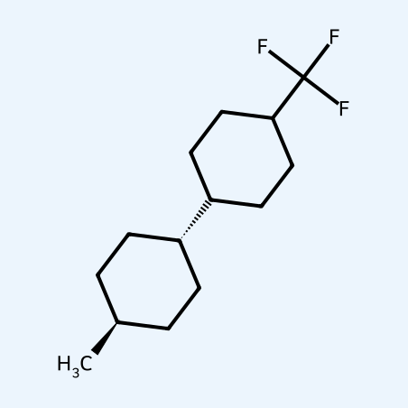 C[C@H]1CC[C@H](C2CCC(C(F)(F)F)CC2)CC1